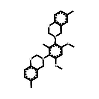 CSc1cc(SC)c(N2COc3ccc(C)cc3C2)c(C)c1N1COc2ccc(C)cc2C1